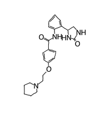 O=C1NCC(c2ccccc2NC(=O)c2ccc(OCCN3CCCCC3)cc2)N1